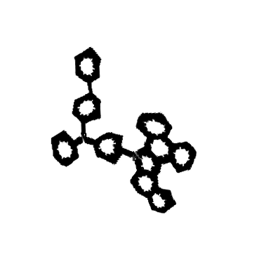 c1ccc(-c2ccc(N(c3ccccc3)c3ccc(-n4c5ccc6ccccc6c5c5c6ccccc6c6ccccc6c54)cc3)cc2)cc1